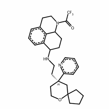 O=C(N1CCc2cccc3c2C1CCC3NCC[C@@]1(c2ccccn2)CCOC2(CCCC2)C1)C(F)(F)F